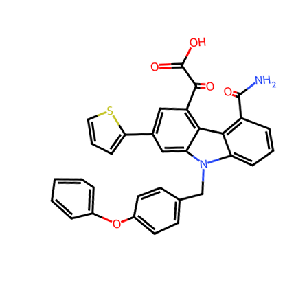 NC(=O)c1cccc2c1c1c(C(=O)C(=O)O)cc(-c3cccs3)cc1n2Cc1ccc(Oc2ccccc2)cc1